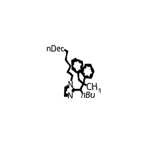 CCCCCCCCCCCCCCCn1ccnc1C(CCCC)C(C)(Cc1ccccc1)c1ccccc1